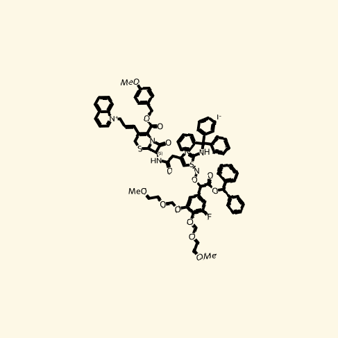 COCCOCOc1cc(C(ON=S2C=C(CC(=O)N[C@H]3C(=O)N4C(C(=O)OCc5ccc(OC)cc5)=C(C=CC[n+]5cccc6ccccc65)CSC34)N=C2NC(c2ccccc2)(c2ccccc2)c2ccccc2)C(=O)OC(c2ccccc2)c2ccccc2)cc(F)c1OCOCCOC.[I-]